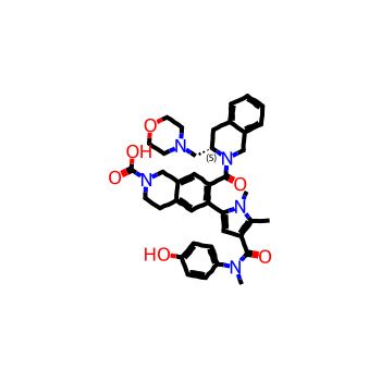 Cc1c(C(=O)N(C)c2ccc(O)cc2)cc(-c2cc3c(cc2C(=O)N2Cc4ccccc4C[C@H]2CN2CCOCC2)CN(C(=O)O)CC3)n1C